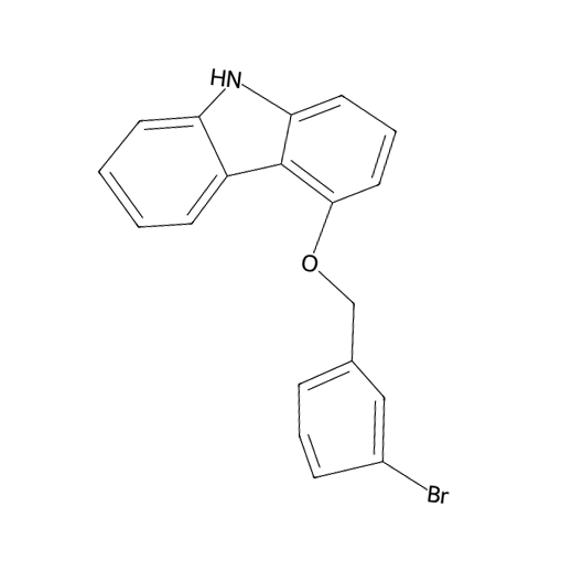 Brc1cccc(COc2cccc3[nH]c4ccccc4c23)c1